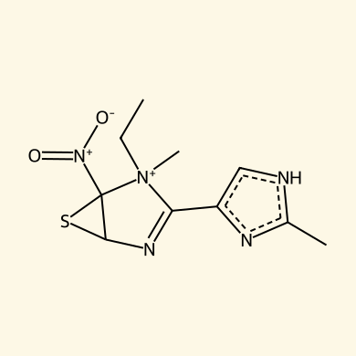 CC[N+]1(C)C(c2c[nH]c(C)n2)=NC2SC21[N+](=O)[O-]